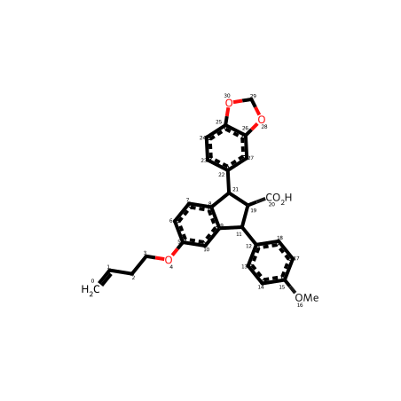 C=CCCOc1ccc2c(c1)C(c1ccc(OC)cc1)C(C(=O)O)C2c1ccc2c(c1)OCO2